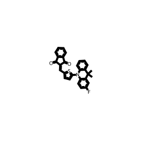 CC1(C)c2ccccc2N(c2ccc(C=C3C(=O)c4ccccc4C3=O)s2)c2ccc(F)cc21